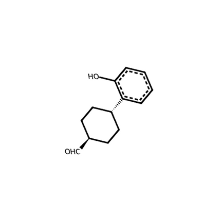 O=C[C@H]1CC[C@H](c2ccccc2O)CC1